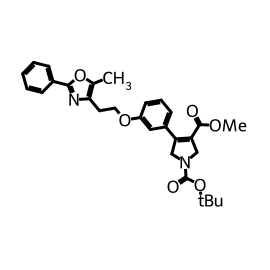 COC(=O)C1=C(c2cccc(OCCc3nc(-c4ccccc4)oc3C)c2)CN(C(=O)OC(C)(C)C)C1